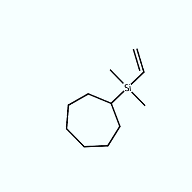 C=C[Si](C)(C)C1CCCCCC1